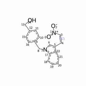 O=[N+]([O-])/C=C\c1cn(Cc2ccc(CO)cc2)c2ccccc12